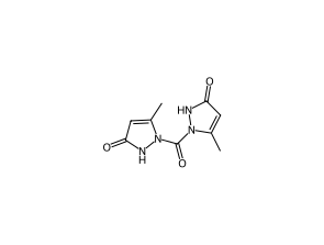 Cc1cc(=O)[nH]n1C(=O)n1[nH]c(=O)cc1C